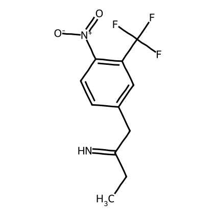 CCC(=N)Cc1ccc([N+](=O)[O-])c(C(F)(F)F)c1